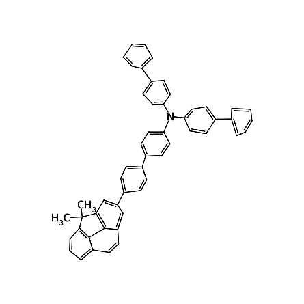 CC1(C)c2cccc3ccc4cc(-c5ccc(-c6ccc(N(c7ccc(-c8ccccc8)cc7)c7ccc(-c8ccccc8)cc7)cc6)cc5)cc1c4c23